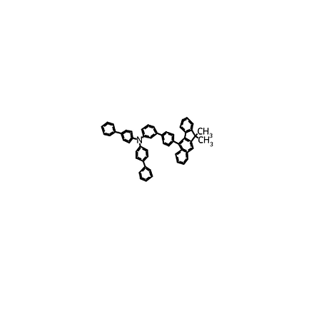 CC1(C)c2ccccc2-c2c1cc1ccccc1c2-c1ccc(-c2cccc(N(c3ccc(-c4ccccc4)cc3)c3ccc(-c4ccccc4)cc3)c2)cc1